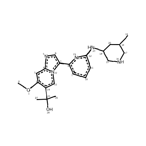 COc1cc2ncc(-c3cccc(NC4CNCC(C)C4)n3)n2cc1C(C)(C)O